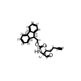 C#CCCC[C@@](C)(C=O)NC(=O)OCC1c2ccccc2-c2ccccc21